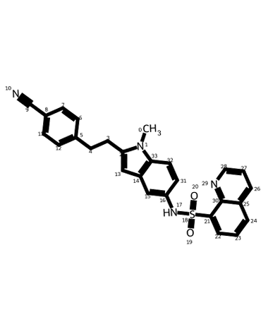 Cn1c(CCc2ccc(C#N)cc2)cc2cc(NS(=O)(=O)c3cccc4cccnc34)ccc21